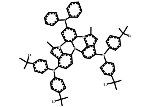 CCC(C)(C)c1ccc(N(c2ccc(C(C)(C)CC)cc2)c2ccc3c4c2cc(C)n4-c2cc(N(c4ccccc4)c4ccccc4)cc4c2B3c2ccc(N(c3ccc(C(C)(C)CC)cc3)c3ccc(C(C)(C)CC)cc3)c3cc(C)n-4c23)cc1